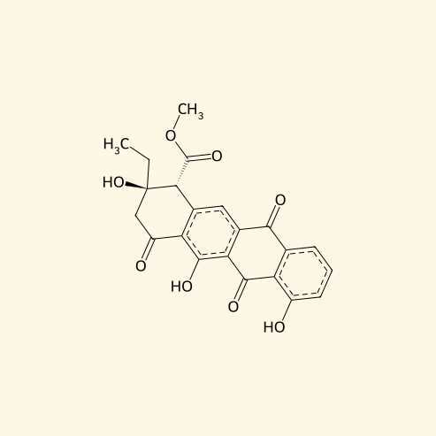 CC[C@@]1(O)CC(=O)c2c(cc3c(c2O)C(=O)c2c(O)cccc2C3=O)[C@H]1C(=O)OC